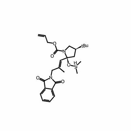 C=CCOC(=O)N1C[C@@H](C(C)(C)C)C[C@@]1(/C=C(\C)CN1C(=O)c2ccccc2C1=O)O[SiH](C)C